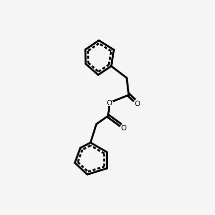 O=C(Cc1ccccc1)OC(=O)Cc1ccccc1